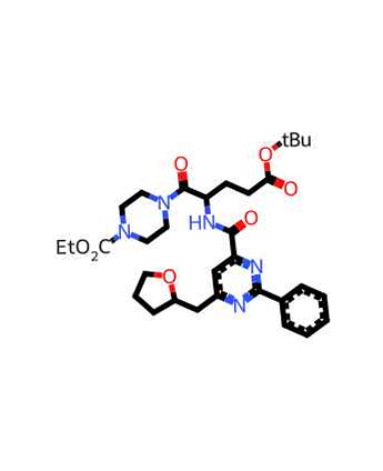 CCOC(=O)N1CCN(C(=O)C(CCC(=O)OC(C)(C)C)NC(=O)c2cc(CC3CCCO3)nc(-c3ccccc3)n2)CC1